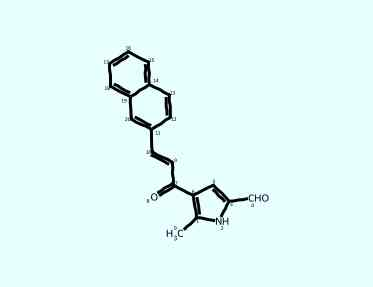 Cc1[nH]c(C=O)cc1C(=O)/C=C/c1ccc2ccccc2c1